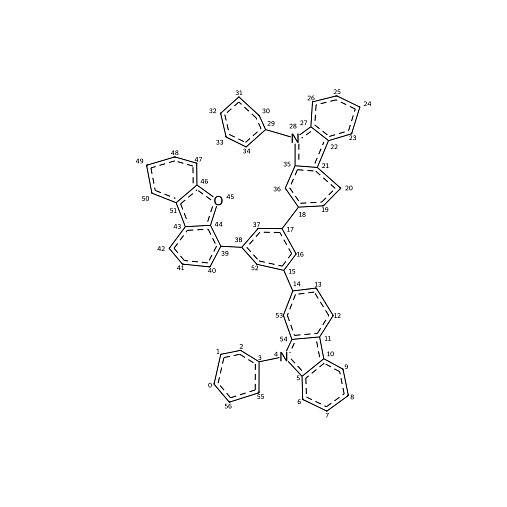 c1ccc(-n2c3ccccc3c3ccc(-c4cc(-c5ccc6c7ccccc7n(-c7ccccc7)c6c5)cc(-c5cccc6c5oc5ccccc56)c4)cc32)cc1